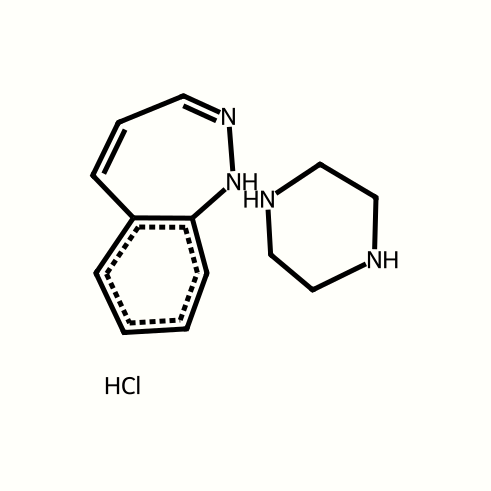 C1=Cc2ccccc2NN=C1.C1CNCCN1.Cl